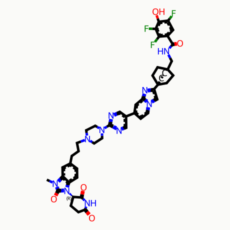 Cn1c(=O)n([C@@H]2CCC(=O)NC2=O)c2ccc(CCCN3CCN(c4ncc(-c5ccn6cc(C78CCC(CNC(=O)c9cc(F)c(O)c(F)c9F)(CC7)CC8)nc6c5)cn4)CC3)cc21